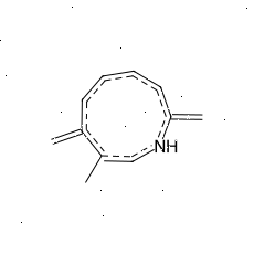 C=c1ccccc(=C)c(C)c[nH]1